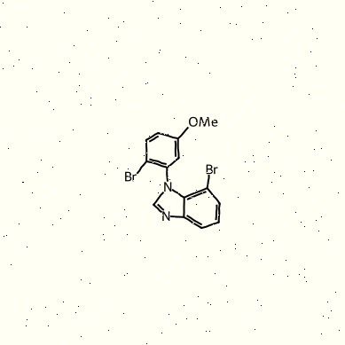 COc1ccc(Br)c(-n2cnc3cccc(Br)c32)c1